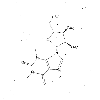 CC(=O)OC[C@H]1O[C@@H](n2cnc3c(=O)n(C)c(=O)n(C)c32)[C@H](OC(C)=O)[C@@H]1OC(C)=O